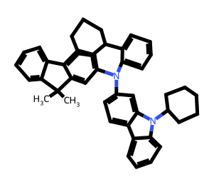 CC1(C)c2ccccc2-c2ccc(N(c3ccc4c5ccccc5n(C5CCCCC5)c4c3)c3ccccc3C3CCCCC3)cc21